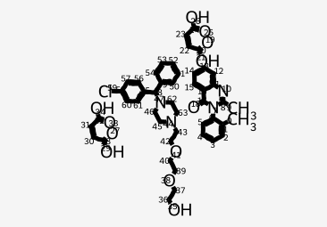 Cc1ccccc1-n1c(C)nc2ccccc2c1=O.O=C(O)/C=C\C(=O)O.O=C(O)/C=C\C(=O)O.OCCOCCOCCN1CCN(C(c2ccccc2)c2ccc(Cl)cc2)CC1